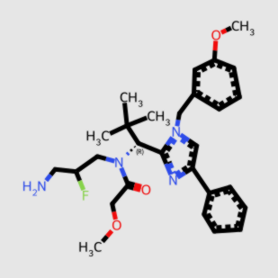 COCC(=O)N(CC(F)CN)[C@@H](c1nc(-c2ccccc2)cn1Cc1cccc(OC)c1)C(C)(C)C